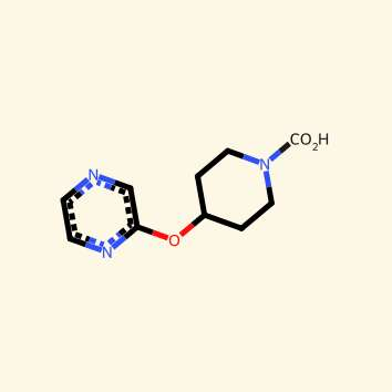 O=C(O)N1CCC(Oc2cnccn2)CC1